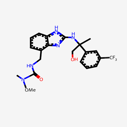 CON(C)C(=O)NCc1cccc2[nH]c(NC(C)(CO)c3cccc(C(F)(F)F)c3)nc12